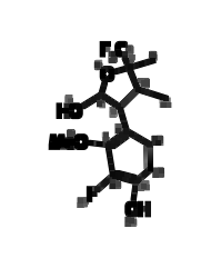 COc1c(C2C(O)OC(C)(C(F)(F)F)C2C)ccc(O)c1F